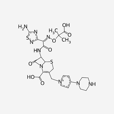 CC(C)(O/N=C(\C(=O)NC1C(=O)N2C(C(=O)O)=C(C[n+]3ccc(N4CCNCC4)cc3)CSC12)c1nsc(N)n1)C(=O)O